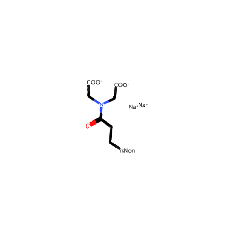 CCCCCCCCCCCC(=O)N(CC(=O)[O-])CC(=O)[O-].[Na+].[Na+]